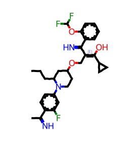 CCCC1CC(OC/C(C(=N)c2ccccc2OC(F)F)=C(/O)C2CC2)CCN1c1ccc(C(C)=N)c(F)c1